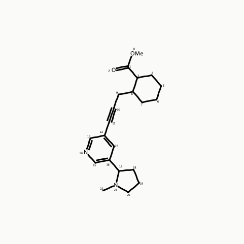 COC(=O)C1CCCCC1CC#Cc1cncc(C2CCCN2C)c1